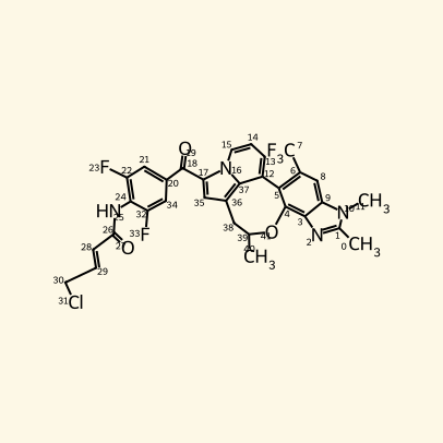 Cc1nc2c3c(c(C(F)(F)F)cc2n1C)-c1cccn2c(C(=O)c4cc(F)c(NC(=O)/C=C/CCl)c(F)c4)cc(c12)CC(C)O3